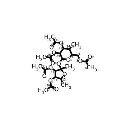 CC(=O)OCC1OC(OC2(C)OC(C)C(OC(C)=O)C2OC(C)=O)C(OC(C)=O)C(OC(C)=O)C1C